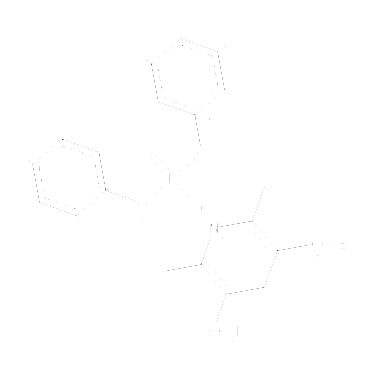 CCOC(=O)C1=C(C)NC(C)=C(C(=O)OCC)C1.O=P(O)(Oc1ccccc1)Oc1ccccc1